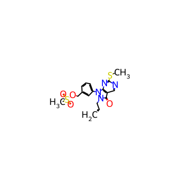 C=CCn1c(=O)c2cnc(SC)nc2n1-c1cccc(COS(C)(=O)=O)c1